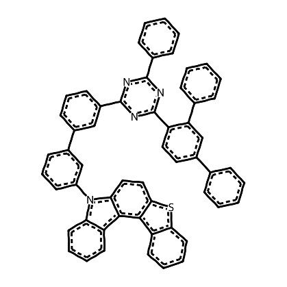 c1ccc(-c2ccc(-c3nc(-c4ccccc4)nc(-c4cccc(-c5cccc(-n6c7ccccc7c7c8c(ccc76)sc6ccccc68)c5)c4)n3)c(-c3ccccc3)c2)cc1